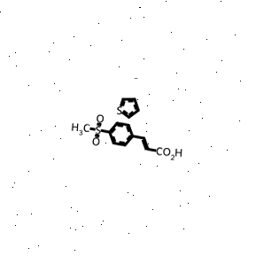 CS(=O)(=O)c1ccc(C=CC(=O)O)cc1.c1ccsc1